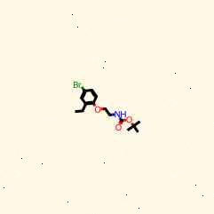 CCc1cc(Br)ccc1OCCNC(=O)OC(C)(C)C